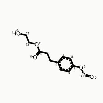 O=POc1ccc(CCC(=O)OCCO)cc1